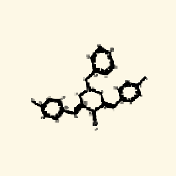 Cc1ccc(C=C2CN(Cc3ccccc3)CC(=Cc3ccc(C)cc3)C2=O)cc1